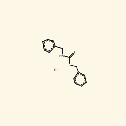 S=C(NCc1ccccc1)SCc1ccccc1.[Nd]